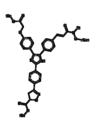 CCCCCCCCCON(CC)C(=O)C=Cc1ccc(-c2[nH]c(-c3ccc(C4=NOC(C(=O)OC(C)(C)C)C4)cc3)nc2-c2ccc(OCC(=O)OC(C)(C)C)cc2)cc1